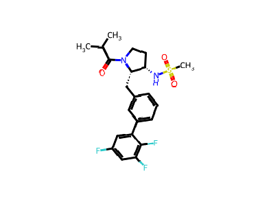 CC(C)C(=O)N1CC[C@H](NS(C)(=O)=O)[C@@H]1Cc1cccc(-c2cc(F)cc(F)c2F)c1